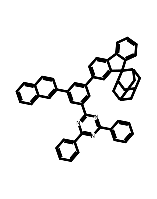 c1ccc(-c2nc(-c3ccccc3)nc(-c3cc(-c4ccc5c(c4)C4(c6ccccc6-5)C5CC6CC(C5)CC4C6)cc(-c4ccc5ccccc5c4)c3)n2)cc1